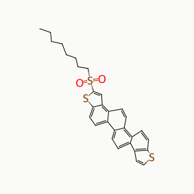 CCCCCCCCS(=O)(=O)c1cc2c(ccc3c2ccc2c4ccc5sccc5c4ccc32)s1